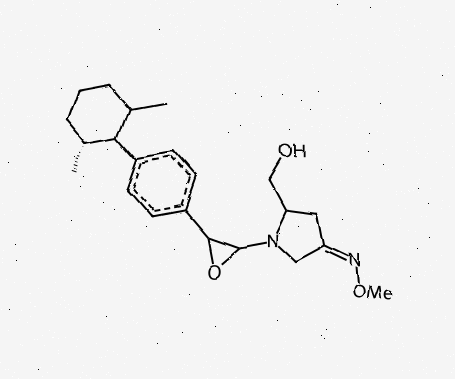 CO/N=C1/CC(CO)N(C2OC2c2ccc(C3C(C)CCC[C@H]3C)cc2)C1